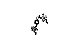 CCCS(=O)(=O)NCc1ccc(OC(C)CNS(=O)(=O)CCC)cc1